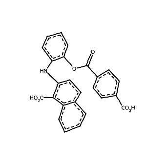 O=C(O)c1ccc(C(=O)Oc2ccccc2Nc2ccc3ccccc3c2C(=O)O)cc1